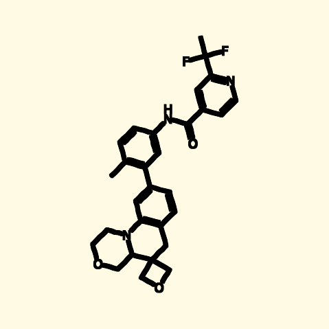 Cc1ccc(NC(=O)c2ccnc(C(C)(F)F)c2)cc1-c1ccc2c(c1)N1CCOCC1C1(COC1)C2